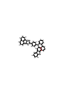 c1ccc(-c2ccccc2N(c2ccc(C3=NC4c5cccc6cccc(c56)C4S3)cc2)c2ccc3sc4ccccc4c3c2)cc1